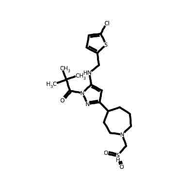 CC(C)(C)C(=O)n1nc(C2CCCN(C[SH](=O)=O)CC2)cc1NCc1ccc(Cl)s1